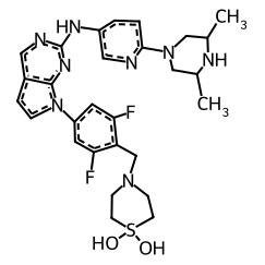 CC1CN(c2ccc(Nc3ncc4ccn(-c5cc(F)c(CN6CCS(O)(O)CC6)c(F)c5)c4n3)cn2)CC(C)N1